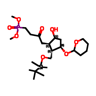 COP(=O)(CCC(=O)C[C@@H]1[C@@H](CO[Si](C)(C)C(C)(C)C)[C@H](OC2CCCCO2)C[C@@H]1O)OC